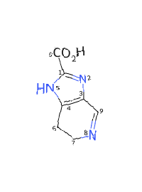 O=C(O)c1nc2c([nH]1)CCN=C2